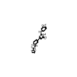 O=C(Nc1nc2cc(-c3cc(=O)[nH]c(Nc4cccc(O)c4)n3)ccc2[nH]1)c1cccs1